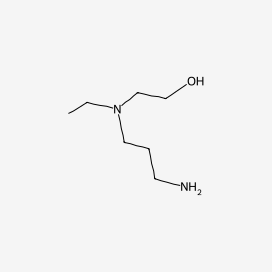 CCN(CCO)CCCN